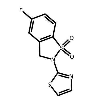 O=S1(=O)c2ccc(F)cc2CN1c1nccs1